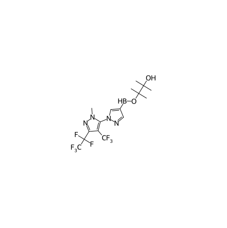 Cn1nc(C(F)(F)C(F)(F)F)c(C(F)(F)F)c1-n1cc(BOC(C)(C)C(C)(C)O)cn1